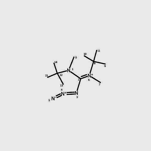 CN(/C(N=[N+]=[N-])=[N+](/C)C(C)(C)C)C(C)(C)C